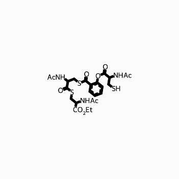 CCOC(=O)C(CSC(=O)C(CSC(=O)c1ccccc1OC(=O)C(CS)NC(C)=O)NC(C)=O)NC(C)=O